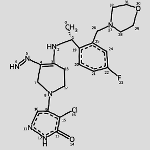 C[C@@H](NC1=C(N=N)CN(c2cn[nH]c(=O)c2Cl)CC1)c1ccc(F)cc1CN1CCOCC1